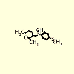 C=C/C=C\C(=C/N(C)c1ccc(SC)cc1)C(C)=O